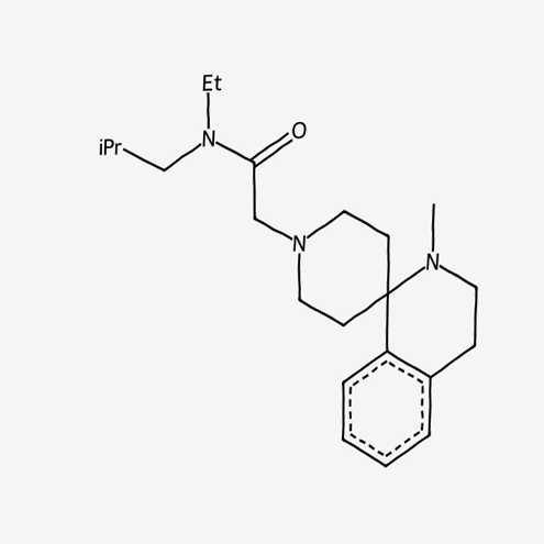 CCN(CC(C)C)C(=O)CN1CCC2(CC1)c1ccccc1CCN2C